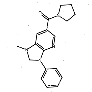 CN1CN(c2ccccc2)c2ncc(C(=O)N3CCCC3)cc21